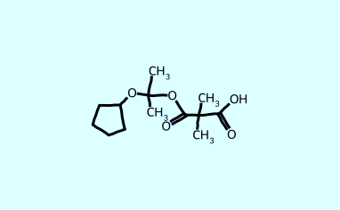 CC(C)(OC(=O)C(C)(C)C(=O)O)OC1CCCC1